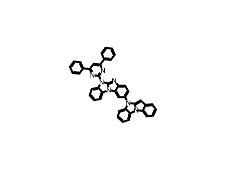 c1ccc(-c2cc(-c3ccccc3)nc(-n3c4ccccc4n4c5cc(-n6c7ccccc7n7c8ccccc8cc67)ccc5nc34)n2)cc1